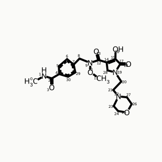 CNC(=O)c1ccc(CN(OC)C(=O)C2=C(O)C(=O)N(CCN3CCOCC3)C2)cc1